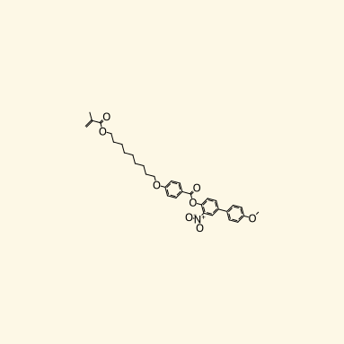 C=C(C)C(=O)OCCCCCCCCCOc1ccc(C(=O)Oc2ccc(-c3ccc(OC)cc3)cc2[N+](=O)[O-])cc1